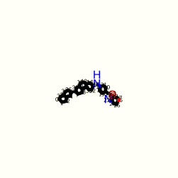 c1ccc2cc(-c3ccc4c(ccc5cc(Nc6ccc(-c7nc8ccccc8o7)cc6)ccc54)c3)ccc2c1